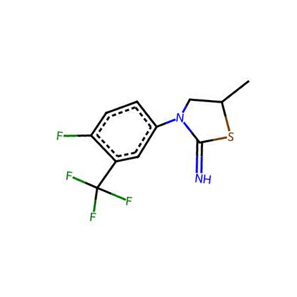 CC1CN(c2ccc(F)c(C(F)(F)F)c2)C(=N)S1